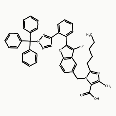 CCCCCc1nc(C)c(C(=O)O)n1Cc1ccc2oc(-c3ccccc3-c3nnn(C(c4ccccc4)(c4ccccc4)c4ccccc4)n3)c(Br)c2c1